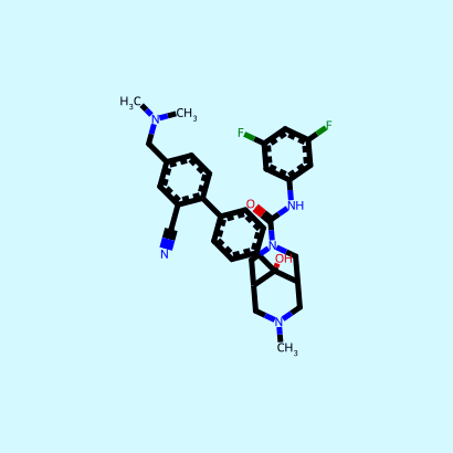 CN(C)Cc1ccc(-c2ccc(C3(O)C4CN(C)CC3CN(C(=O)Nc3cc(F)cc(F)c3)C4)cc2)c(C#N)c1